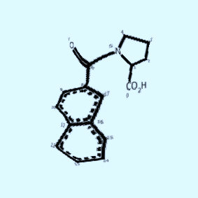 O=C(O)C1CCCN1C(=O)c1ccc2ccccc2c1